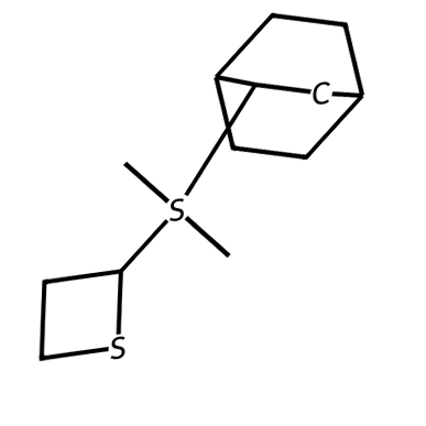 CS(C)(C1CCS1)C1CC2CCC1CC2